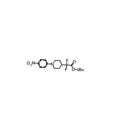 CC(C)(C)OC(=O)C(F)(F)C1CCN(c2ccc([N+](=O)[O-])cc2)CC1